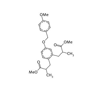 COC(=O)C(C)Cc1ccc(OCc2ccc(OC)cc2)cc1CC(C)C(=O)OC